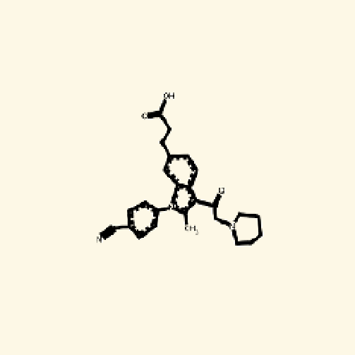 Cc1c(C(=O)CN2CCCCC2)c2ccc(CCC(=O)O)cc2n1-c1ccc(C#N)cc1